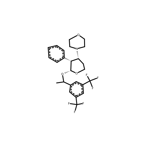 CC(O[C@H]1OCC[C@@H](N2CCOCC2)[C@H]1c1ccccc1)c1cc(C(F)(F)F)cc(C(F)(F)F)c1